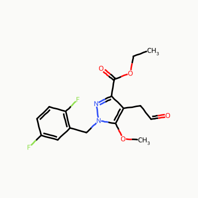 CCOC(=O)c1nn(Cc2cc(F)ccc2F)c(OC)c1CC=O